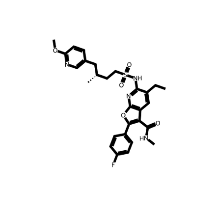 CCc1cc2c(C(=O)NC)c(-c3ccc(F)cc3)oc2nc1NS(=O)(=O)CC[C@H](C)Cc1ccc(OC)nc1